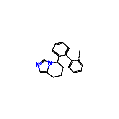 Cc1ccccc1-c1ccccc1C1CCCc2cncn21